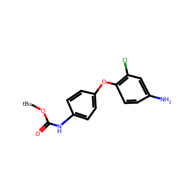 CC(C)(C)OC(=O)Nc1ccc(Oc2ccc(N)cc2Cl)cc1